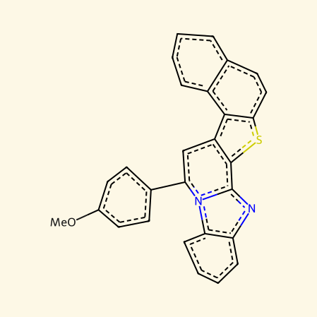 COc1ccc(-c2cc3c(sc4ccc5ccccc5c43)c3nc4ccccc4n23)cc1